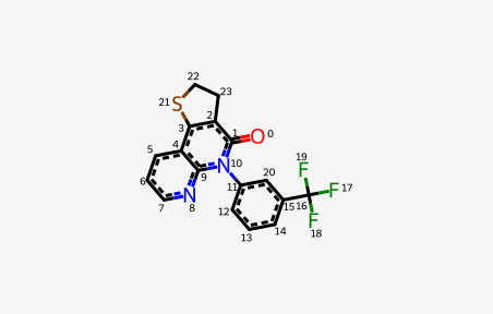 O=c1c2c(c3cccnc3n1-c1cccc(C(F)(F)F)c1)SCC2